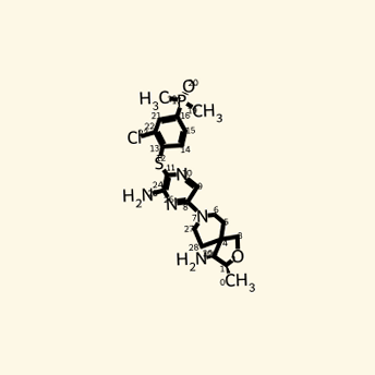 C[C@@H]1OCC2(CCN(c3cnc(Sc4ccc(P(C)(C)=O)cc4Cl)c(N)n3)CC2)[C@@H]1N